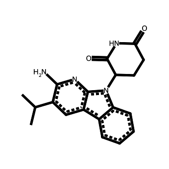 CC(C)c1cc2c3ccccc3n(C3CCC(=O)NC3=O)c2nc1N